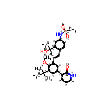 COc1c(C=Cc2ccc(NS(C)(=O)=O)cc2C(C)(C)O)cc(-c2ccc[nH]c2=O)cc1C(C)(C)C